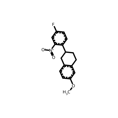 COc1ccc2c(c1)CCC(c1ccc(F)cc1[N+](=O)[O-])C2